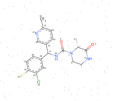 C[C@@H]1C(=O)NCCN1C(=O)NC(c1ccc(C(F)(F)F)nc1)c1ccc(F)c(Cl)c1